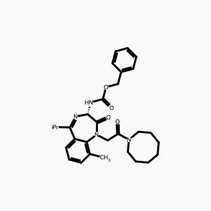 Cc1cccc2c1N(CC(=O)N1CCCCCCC1)C(=O)[C@@H](NC(=O)OCc1ccccc1)N=C2C(C)C